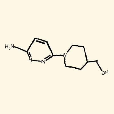 Nc1ccc(N2CCC(CO)CC2)nn1